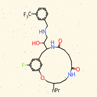 CCCC1CCNC(=O)CCCC(=O)NC(C(O)CNCc2cccc(C(F)(F)F)c2)Cc2cc(F)cc(c2)OC1